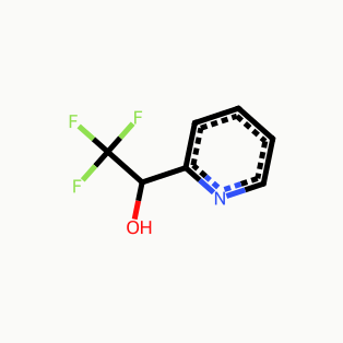 OC(c1ccccn1)C(F)(F)F